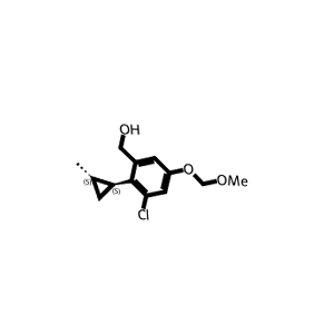 COCOc1cc(Cl)c([C@H]2C[C@@H]2C)c(CO)c1